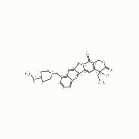 CC[C@@]1(O)C(=O)OCc2c1cc1n(c2=O)Cc2cc3c(CN4CCC(NC)CC4)cccc3nc2-1